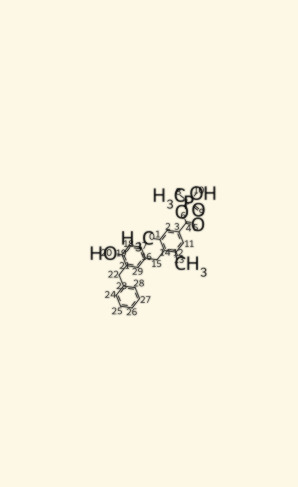 Cc1cc(C(=O)OP(C)(=O)O)cc(C)c1Cc1ccc(O)c(Cc2ccccc2)c1